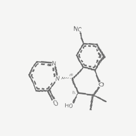 CC1(C)Oc2ccc(C#N)cc2[C@@H](n2ncccc2=O)[C@@H]1O